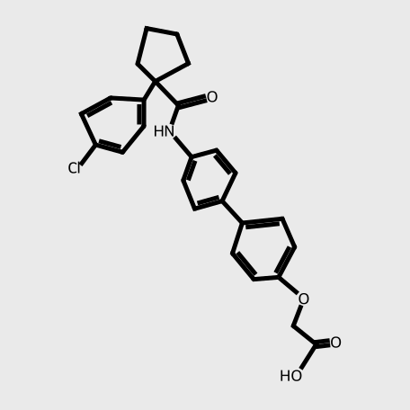 O=C(O)COc1ccc(-c2ccc(NC(=O)C3(c4ccc(Cl)cc4)CCCC3)cc2)cc1